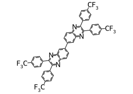 FC(F)(F)c1ccc(-c2nc3ccc(-c4ccc5nc(-c6ccc(C(F)(F)F)cc6)c(-c6ccc(C(F)(F)F)cc6)nc5c4)cc3nc2-c2ccc(C(F)(F)F)cc2)cc1